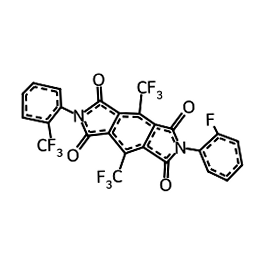 O=c1c2c(C(F)(F)F)c3c(=O)n(-c4ccccc4C(F)(F)F)c(=O)c3c(C(F)(F)F)c2c(=O)n1-c1ccccc1F